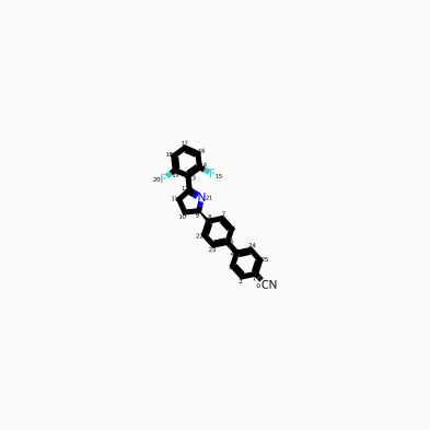 N#Cc1ccc(-c2ccc([C@H]3CCC(c4c(F)cccc4F)=N3)cc2)cc1